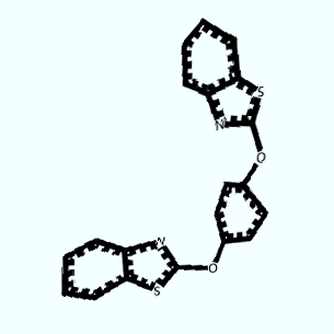 c1ccc2sc(Oc3ccc(Oc4nc5ccccc5s4)cc3)nc2c1